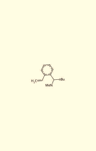 C=Cc1ccccc1C(CCCC)NC